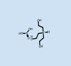 CC[N+](CCO)(CCO)CCO.[O]=[Ti]([OH])[OH]